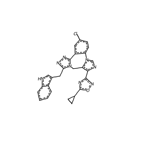 Clc1ccc2c(c1)-c1nnc(Cc3c[nH]c4ccccc34)n1Cc1c(-c3noc(C4CC4)n3)ncn1-2